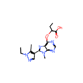 CCC(Oc1ncnc2c1nc(-c1cnn(CC)c1C)n2C)C(=O)O